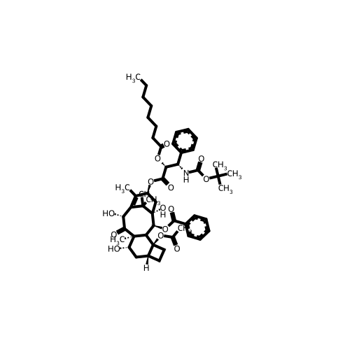 CCCCCCCC(=O)O[C@@H](C(=O)O[C@H]1C[C@@]2(O)[C@@H](OC(=O)c3ccccc3)C3[C@](C)(C(=O)[C@H](O)C(=C1C)C2(C)C)[C@@H](O)C[C@H]1CC[C@@]31OC(C)=O)[C@@H](NC(=O)OC(C)(C)C)c1ccccc1